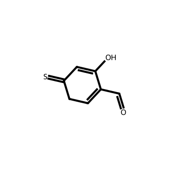 O=CC1=CCC(=S)C=C1O